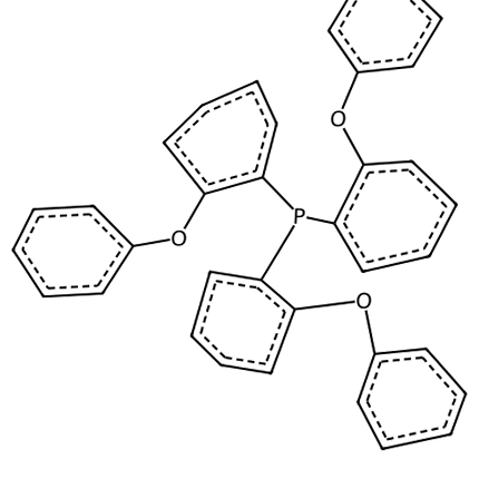 c1ccc(Oc2ccccc2P(c2ccccc2Oc2ccccc2)c2ccccc2Oc2ccccc2)cc1